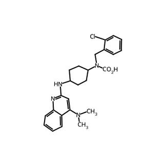 CN(C)c1cc(NC2CCC(N(Cc3ccccc3Cl)C(=O)O)CC2)nc2ccccc12